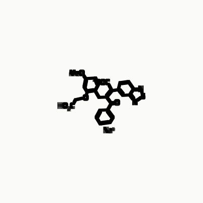 COc1ccc(CC(C(=O)c2ccccc2)=C(C(=O)[O-])c2ccc3nsnc3c2)c(OCC(=O)O)c1.[Na+]